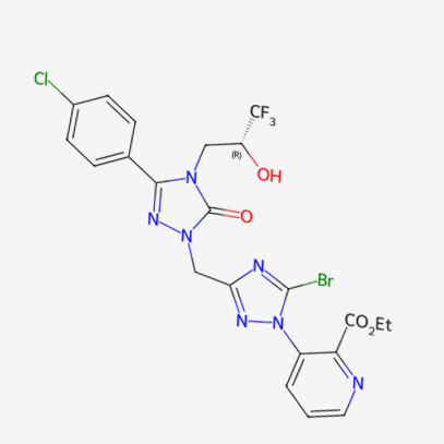 CCOC(=O)c1ncccc1-n1nc(Cn2nc(-c3ccc(Cl)cc3)n(C[C@@H](O)C(F)(F)F)c2=O)nc1Br